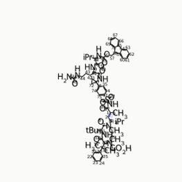 C/C(=C\[C@H](C(C)C)N(C)C(=O)[C@@H](NC(=O)[C@@H](N(C)C(=O)O)C(C)(C)c1ccccc1)C(C)(C)C)C(=O)NS(=O)(=O)c1ccc(C2(NC(=O)[C@@H](CCCNC(N)=O)NC(=O)[C@H](NC(=O)OCC3c4ccccc4-c4ccccc43)C(C)C)CC2)cc1